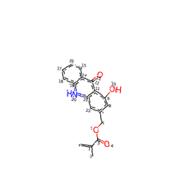 C=C(C)C(=O)OCc1cc(O)c2c(=O)c3ccccc3[nH]c2c1